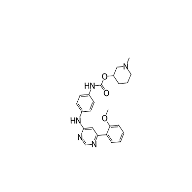 COc1ccccc1-c1cc(Nc2ccc(NC(=O)OC3CCCN(C)C3)cc2)ncn1